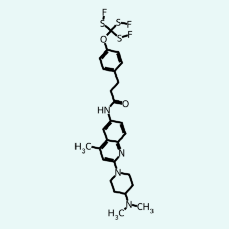 Cc1cc(N2CCC(N(C)C)CC2)nc2ccc(NC(=O)CCc3ccc(OC(SF)(SF)SF)cc3)cc12